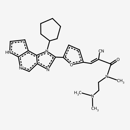 CN(C)CCN(C)C(=O)/C(C#N)=C/c1ccc(-c2nc3cnc4[nH]ccc4c3n2C2CCCCC2)o1